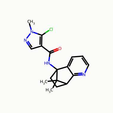 Cn1ncc(C(=O)NC23CCC(c4ncccc42)C3(C)C)c1Cl